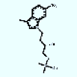 Cc1cn(CC[C@H](O)CO[Si](C)(C)C(C)(C)C)c2cc([N+](=O)[O-])ccc12